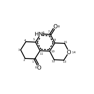 O=C1CCCc2[nH]c(=O)c3c(c21)CCOC3